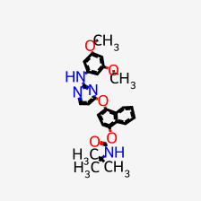 COc1cc(Nc2nccc(Oc3ccc(OC(=O)NC(C)(C)C)c4ccccc34)n2)cc(OC)c1